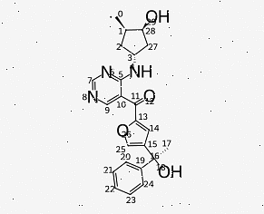 [CH2][C@@H]1C[C@@H](Nc2ncncc2C(=O)c2cc([C@@](C)(O)c3ccccc3)co2)C[C@@H]1O